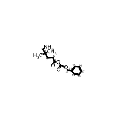 CC(C)(CN)CCC(=O)OC(=O)OCc1ccccc1